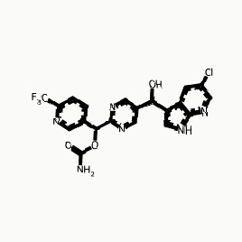 NC(=O)OC(c1ccc(C(F)(F)F)nc1)c1ncc(C(O)c2c[nH]c3ncc(Cl)cc23)cn1